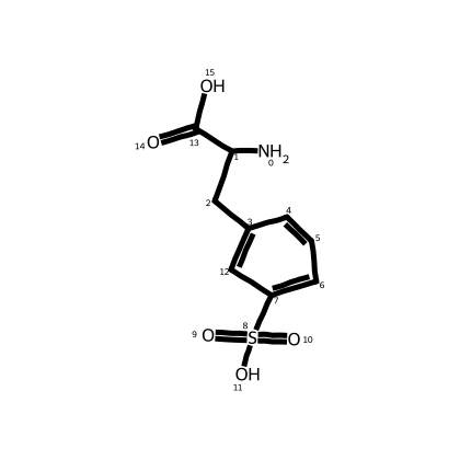 NC(Cc1cccc(S(=O)(=O)O)c1)C(=O)O